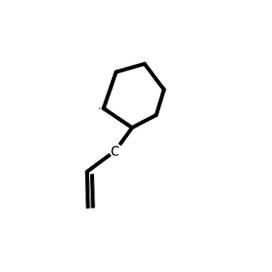 C=CCC1[CH]CCCC1